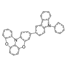 c1ccc(-n2c3ccccc3c3cc(-c4ccc5c(c4)Oc4cccc6c4N5c4ccccc4O6)ccc32)cc1